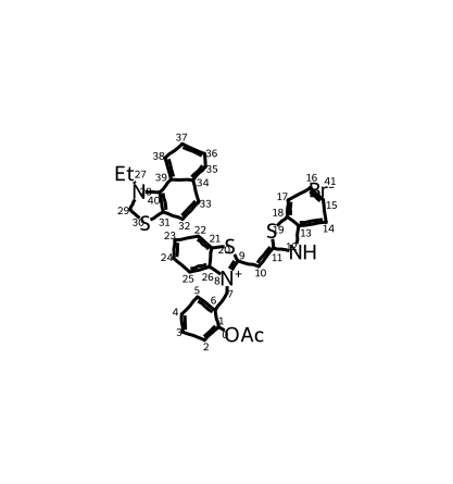 CC(=O)Oc1ccccc1C[n+]1c(C=C2Nc3ccccc3S2)sc2ccccc21.CCN1CSc2ccc3ccccc3c21.[Br-]